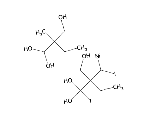 CCC(C)(CO)C(O)O.CCC(CO)([CH]([Ni])I)C(O)(O)I